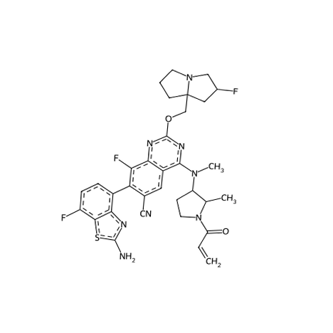 C=CC(=O)N1CCC(N(C)c2nc(OCC34CCCN3CC(F)C4)nc3c(F)c(-c4ccc(F)c5sc(N)nc45)c(C#N)cc23)C1C